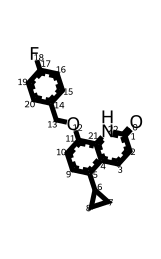 O=c1ccc2c(C3CC3)ccc(OCc3ccc(F)cc3)c2[nH]1